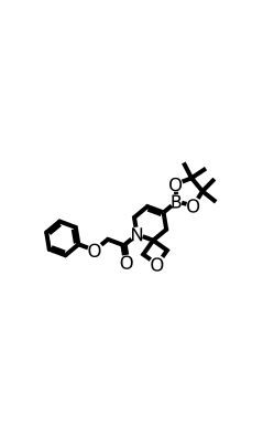 CC1(C)OB(C2=CCN(C(=O)COc3ccccc3)C3(COC3)C2)OC1(C)C